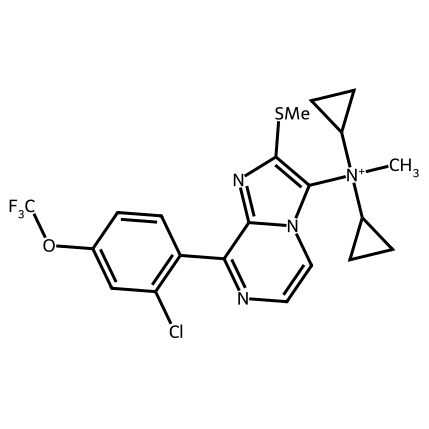 CSc1nc2c(-c3ccc(OC(F)(F)F)cc3Cl)nccn2c1[N+](C)(C1CC1)C1CC1